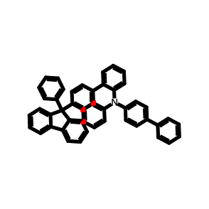 c1ccc(-c2ccc(N(c3ccccc3)c3ccccc3-c3ccc(C4(c5ccccc5)c5ccccc5-c5ccccc54)cc3)cc2)cc1